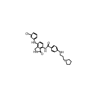 O=C(Nc1ccc(Nc2cccc(Cl)c2)c2c1C(=O)NC2)c1ccc(NCCCN2CCCC2)cc1